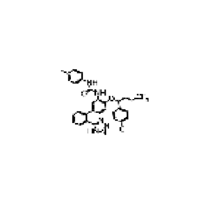 Cc1ccc(NC(=O)Nc2cc(-c3ccccc3-c3nnn[nH]3)ccc2OC(CCC(F)(F)F)c2ccc(Cl)cc2)cc1